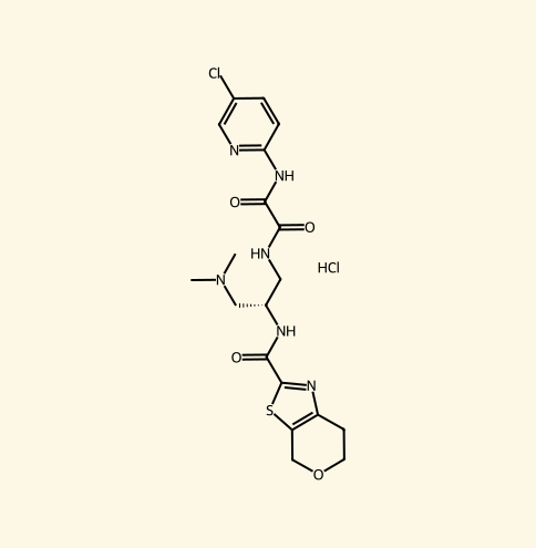 CN(C)C[C@H](CNC(=O)C(=O)Nc1ccc(Cl)cn1)NC(=O)c1nc2c(s1)COCC2.Cl